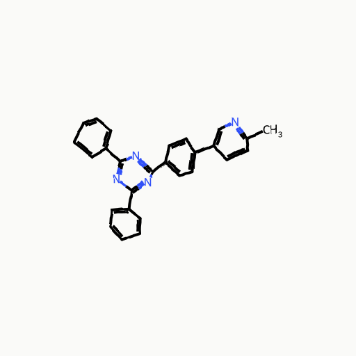 Cc1ccc(-c2ccc(-c3nc(-c4ccccc4)nc(-c4ccccc4)n3)cc2)cn1